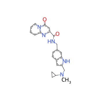 CN(Cc1cc2ccc(CNC(=O)c3cc(=O)n4ccccc4n3)cc2[nH]1)C1CC1